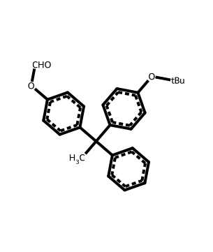 CC(C)(C)Oc1ccc(C(C)(c2ccccc2)c2ccc(OC=O)cc2)cc1